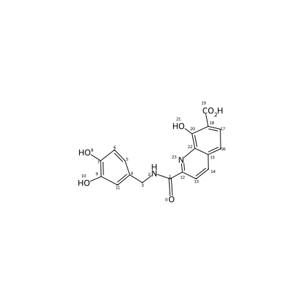 O=C(NCc1ccc(O)c(O)c1)c1ccc2ccc(C(=O)O)c(O)c2n1